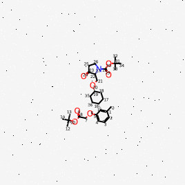 Cc1cccc(OCC(=O)OC(C)(C)C)c1[C@H]1CC[C@@H](OCC2C(=O)CCN2C(=O)OC(C)(C)C)CC1